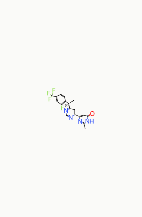 Cc1nc(-c2cc([C@H](C)c3ccc(C(F)(F)F)cc3F)ncn2)cc(=O)[nH]1